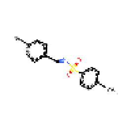 Cc1ccc(S(=O)(=O)/N=C/c2ccc(C(C)C)cc2)cc1